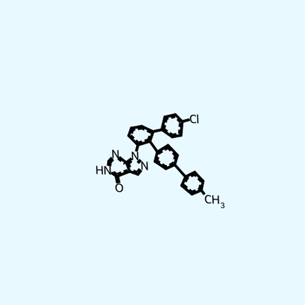 Cc1ccc(-c2ccc(-c3c(-c4ccc(Cl)cc4)cccc3-n3ncc4c(=O)[nH]cnc43)cc2)cc1